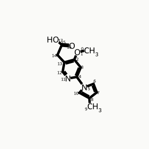 COc1cc(-n2ccc(C)c2)ncc1CC(=O)O